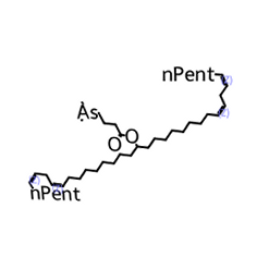 CCCCC/C=C\C/C=C\CCCCCCCCC(CCCCCCCC/C=C\C/C=C\CCCCC)OC(=O)CCC[As](C)C